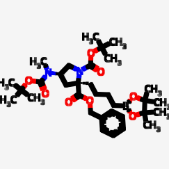 CN(C(=O)OC(C)(C)C)[C@H]1CN(C(=O)OC(C)(C)C)[C@@](CCCCB2OC(C)(C)C(C)(C)O2)(C(=O)OCc2ccccc2)C1